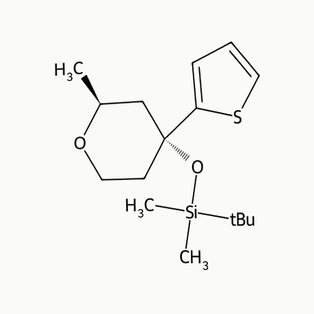 C[C@H]1C[C@@](O[Si](C)(C)C(C)(C)C)(c2cccs2)CCO1